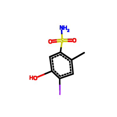 Cc1cc(I)c(O)cc1S(N)(=O)=O